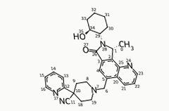 C[C@@H]1c2c(cc(CN3CCC(C#N)(c4ccccn4)CC3)c3cccnc23)C(=O)N1[C@H]1CCCC[C@@H]1O